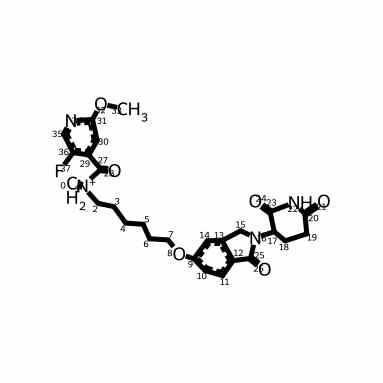 C=[N+](CCCCCCOc1ccc2c(c1)CN(C1CCC(=O)NC1=O)C2=O)C(=O)c1cc(OC)ncc1F